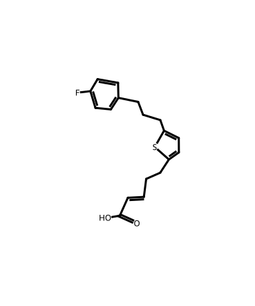 O=C(O)C=CCCc1ccc(CCCc2ccc(F)cc2)s1